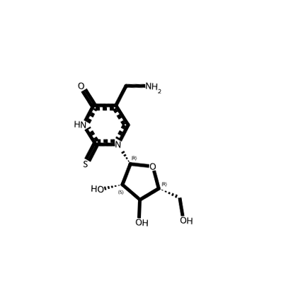 NCc1cn([C@@H]2O[C@H](CO)C(O)[C@@H]2O)c(=S)[nH]c1=O